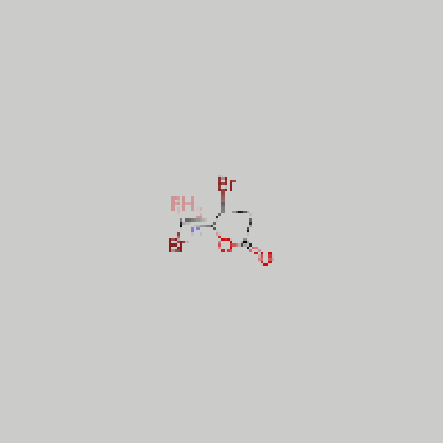 B/C(Br)=C1/OC(=O)CC1Br